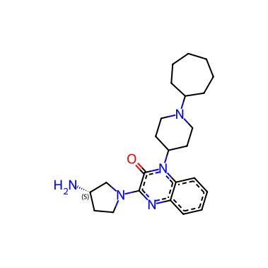 N[C@H]1CCN(c2nc3ccccc3n(C3CCN(C4CCCCCC4)CC3)c2=O)C1